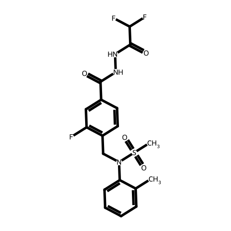 Cc1ccccc1N(Cc1ccc(C(=O)NNC(=O)C(F)F)cc1F)S(C)(=O)=O